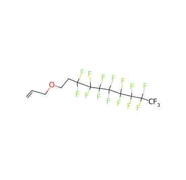 C=CCOCCC(F)(F)C(F)(F)C(F)(F)C(F)(F)C(F)(F)C(F)(F)C(F)(F)C(F)(F)F